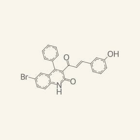 O=C(C=Cc1cccc(O)c1)c1c(-c2ccccc2)c2cc(Br)ccc2[nH]c1=O